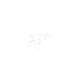 CC(C)[C@H](NC(=O)[C@H](C)N)C(=O)NC[C@@H](O)CP(=O)(O)CC1CCCCC1